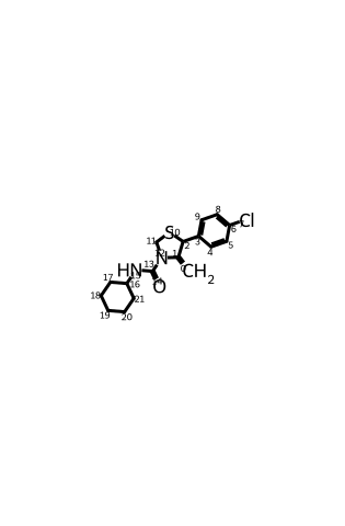 C=C1C(c2ccc(Cl)cc2)SCN1C(=O)NC1CCCCC1